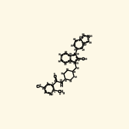 Cc1ncc(Cl)cc1C(=O)NC1CCC(Cn2c(=O)n(-c3ccn4cncc4c3)c3ccccc32)CC1